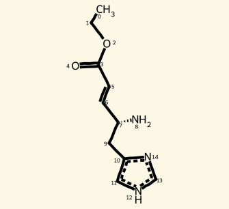 CCOC(=O)/C=C/[C@H](N)Cc1c[nH]cn1